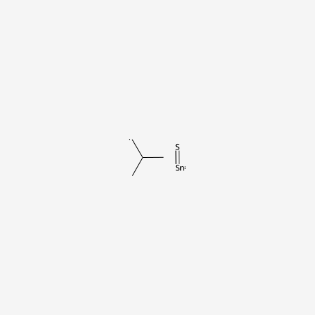 [CH2]C(C)C.[S]=[Sn]